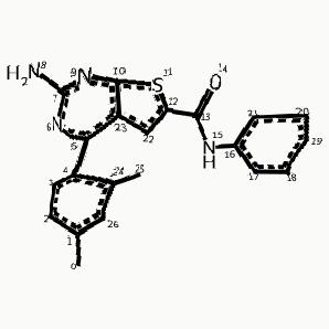 Cc1ccc(-c2nc(N)nc3sc(C(=O)Nc4ccccc4)cc23)c(C)c1